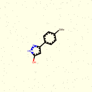 CSc1ccc(-c2cc(O)[nH]n2)cc1